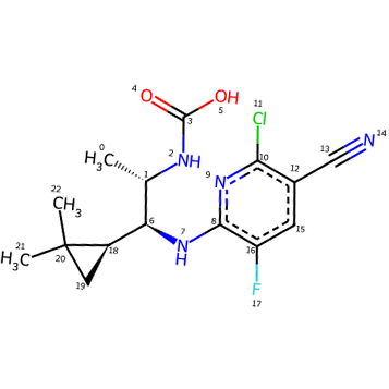 C[C@H](NC(=O)O)[C@@H](Nc1nc(Cl)c(C#N)cc1F)[C@H]1CC1(C)C